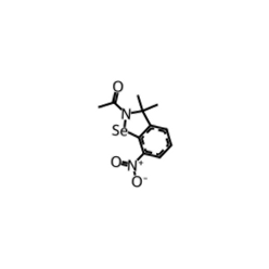 CC(=O)N1[Se]c2c([N+](=O)[O-])cccc2C1(C)C